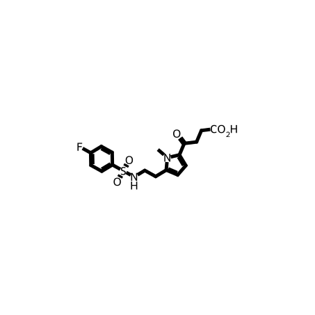 Cn1c(CCNS(=O)(=O)c2ccc(F)cc2)ccc1C(=O)CCC(=O)O